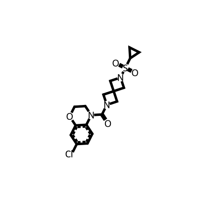 O=C(N1CC2(C1)CN(S(=O)(=O)C1CC1)C2)N1CCOc2cc(Cl)ccc21